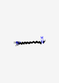 CCNCCCCCCCCCCCCCCCCC[N+](C)(C)C